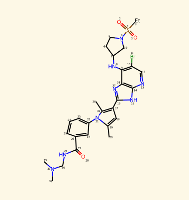 CCS(=O)(=O)N1CCC(Nc2c(Br)cnc3[nH]c(-c4cc(C)n(-c5cccc(C(=O)NCN(C)C)c5)c4C)nc23)C1